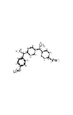 CCCCCC1CCC(C(C)C2CCC(C(C)c3ccc(OCC)cc3)CC2)CC1